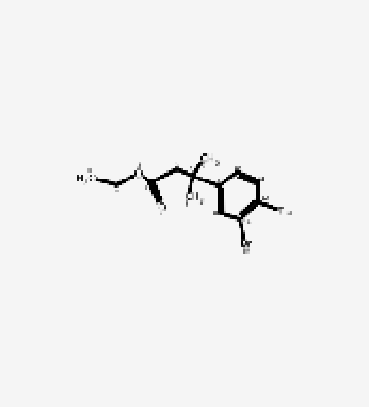 CCOC(=O)CC(C)(C)c1ccc(F)c(Br)c1